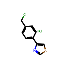 Cl.ClCc1ccc(-c2cscn2)cc1